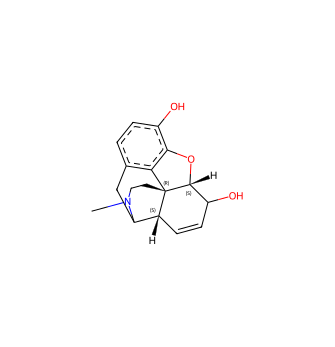 CN1CC[C@@]23c4c5ccc(O)c4O[C@@H]2C(O)C=C[C@@H]3C1C5